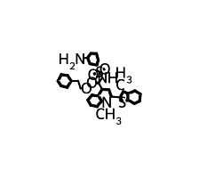 Cc1c(-c2cc(C(=O)NS(=O)(=O)c3cccc(N)c3)c3c(OCCc4ccccc4)ccc(C)c3n2)sc2ccccc12